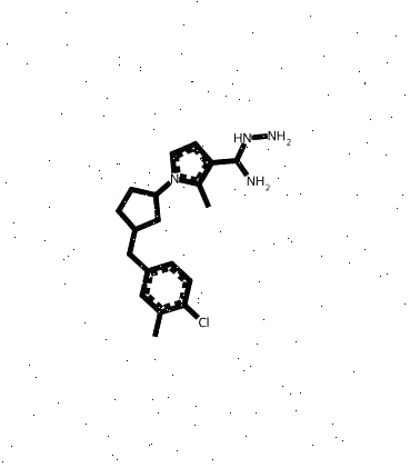 Cc1cc(CC2CCC(n3ccc(C(N)NN)c3C)C2)ccc1Cl